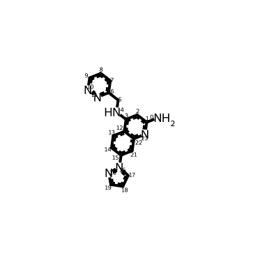 Nc1cc(NCc2cccnn2)c2ccc(-n3cccn3)cc2n1